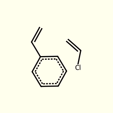 C=CCl.C=Cc1ccccc1